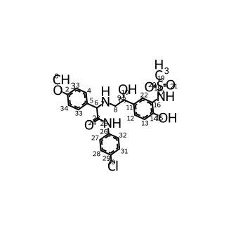 COc1ccc(C(NC[C@@H](O)c2ccc(O)c(NS(C)(=O)=O)c2)C(=O)Nc2ccc(Cl)cc2)cc1